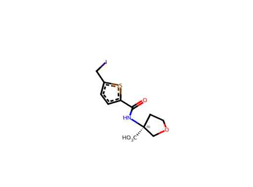 O=C(N[C@@]1(C(=O)O)CCOC1)c1ccc(CI)s1